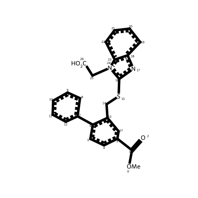 COC(=O)c1ccc(-c2ccccc2)c(CSc2nc3ccccc3n2CC(=O)O)c1